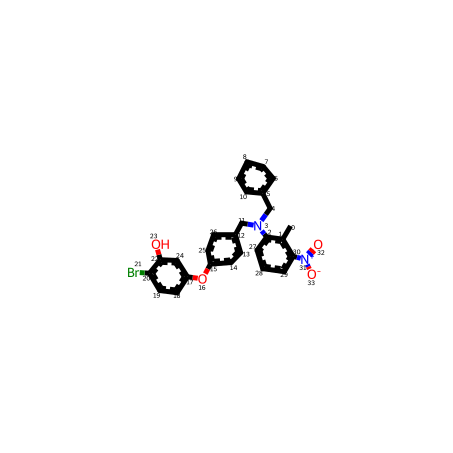 Cc1c(N(Cc2ccccc2)Cc2ccc(Oc3ccc(Br)c(O)c3)cc2)cccc1[N+](=O)[O-]